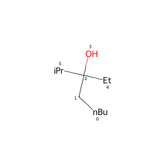 CCCCCC(O)(CC)C(C)C